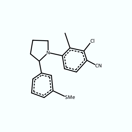 CSc1cccc(C2CCCN2c2ccc(C#N)c(Cl)c2C)c1